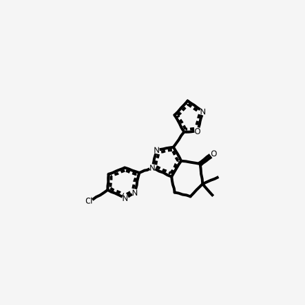 CC1(C)CCc2c(c(-c3ccno3)nn2-c2ccc(Cl)nn2)C1=O